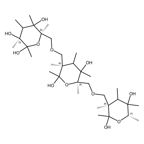 CC1C(C)(O)[C@@](C)(COC[C@@]2(C)C(C)C(C)(O)[C@@](C)(COC[C@@]3(C)C(C)C(C)(O)[C@H](C)OC3(C)O)OC2(C)O)OC(C)(O)[C@@]1(C)O